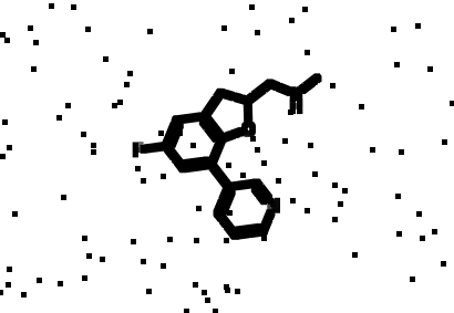 CNCC1Cc2cc(F)cc(-c3cccnc3)c2O1